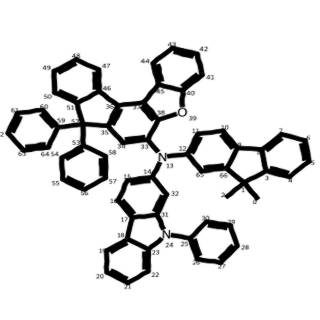 CC1(C)c2ccccc2-c2ccc(N(c3ccc4c5ccccc5n(-c5ccccc5)c4c3)c3cc4c(c5c3oc3ccccc35)-c3ccccc3C4(c3ccccc3)c3ccccc3)cc21